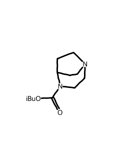 CC(C)COC(=O)N1CCN2CCC1CC2